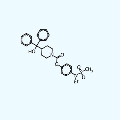 CCN(c1ccc(OC(=O)N2CCC(C(O)(c3ccccc3)c3ccccc3)CC2)cc1)S(C)(=O)=O